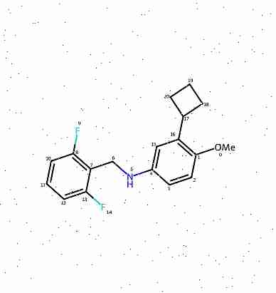 COc1ccc(NCc2c(F)cccc2F)cc1C1CCC1